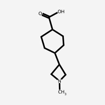 CN1CC(C2CCC(C(=O)O)CC2)C1